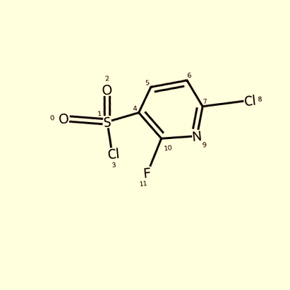 O=S(=O)(Cl)c1ccc(Cl)nc1F